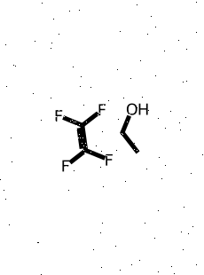 CCO.FC(F)=C(F)F